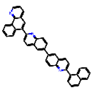 c1ccc2c(-c3ccc4cc(-c5ccc6nc(-c7cc8cccnc8c8ccccc78)ccc6c5)ccc4n3)cccc2c1